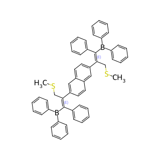 CSC/C(=C(\B(c1ccccc1)c1ccccc1)c1ccccc1)c1ccc2cc(/C(CSC)=C(/B(c3ccccc3)c3ccccc3)c3ccccc3)ccc2c1